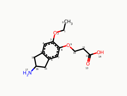 CCOc1cc2c(cc1OCCC(=O)O)CC(N)C2